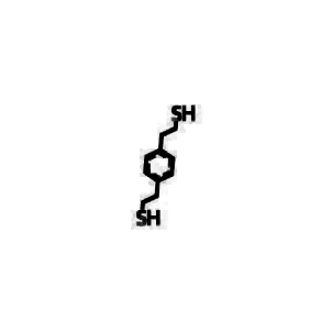 SCCc1ccc(CCS)cc1